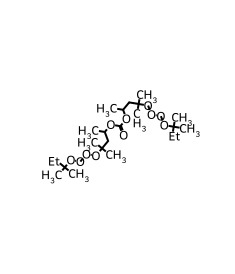 CCC(C)(C)OOOOC(C)(C)CC(C)OC(=O)OC(C)CC(C)(C)OOOOC(C)(C)CC